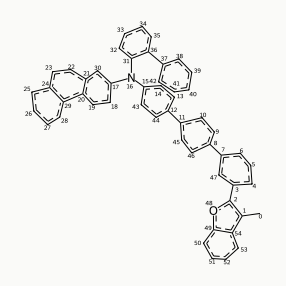 Cc1c(-c2cccc(-c3ccc(-c4ccc(N(c5ccc6c(ccc7ccccc76)c5)c5ccccc5-c5ccccc5)cc4)cc3)c2)oc2ccccc12